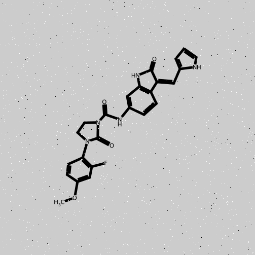 COc1ccc(N2CCN(C(=O)Nc3ccc4c(c3)NC(=O)C4=Cc3ccc[nH]3)C2=O)c(F)c1